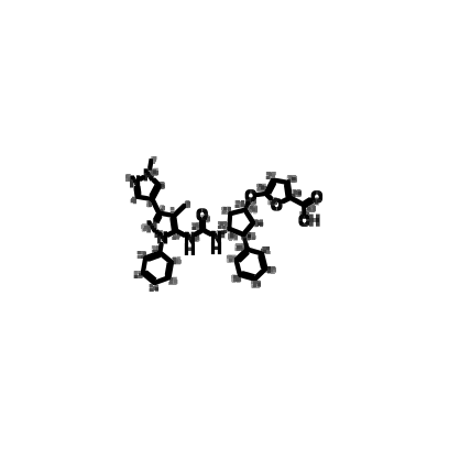 Cc1c(-c2cnn(C)c2)nn(-c2ccccc2)c1NC(=O)N[C@@H]1C[C@@H](Oc2ccc(C(=O)O)o2)C[C@H]1c1ccccc1